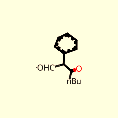 CCCCC(=O)C([C]=O)c1ccccc1